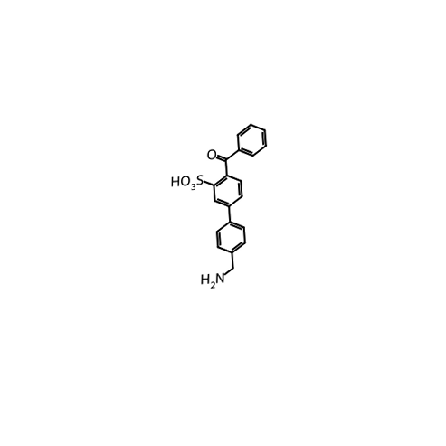 NCc1ccc(-c2ccc(C(=O)c3ccccc3)c(S(=O)(=O)O)c2)cc1